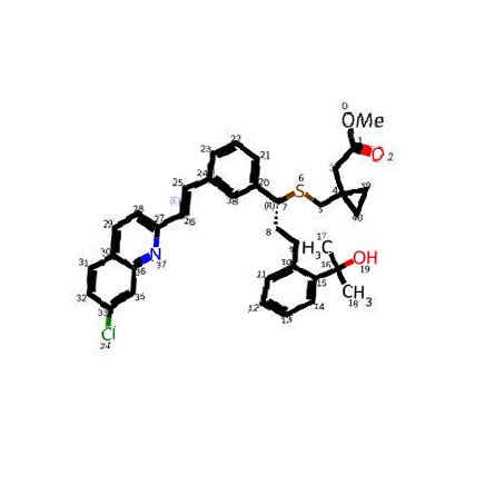 COC(=O)CC1(CS[C@H](CCc2ccccc2C(C)(C)O)c2cccc(/C=C/c3ccc4ccc(Cl)cc4n3)c2)CC1